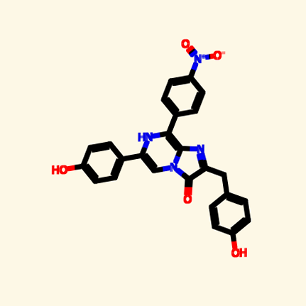 O=c1c(Cc2ccc(O)cc2)nc2c(-c3ccc([N+](=O)[O-])cc3)[nH]c(-c3ccc(O)cc3)cn1-2